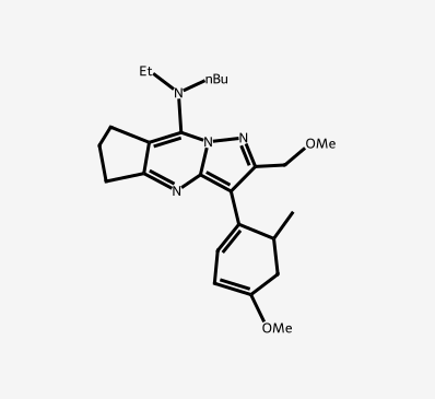 CCCCN(CC)c1c2c(nc3c(C4=CC=C(OC)CC4C)c(COC)nn13)CCC2